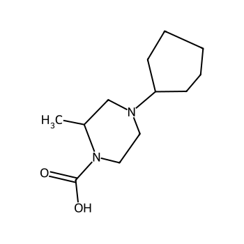 CC1CN(C2CCCCC2)CCN1C(=O)O